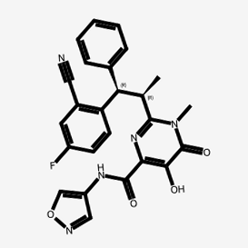 C[C@@H](c1nc(C(=O)Nc2cnoc2)c(O)c(=O)n1C)[C@H](c1ccccc1)c1ccc(F)cc1C#N